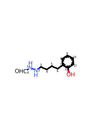 O=CNNCCCCc1ccccc1O